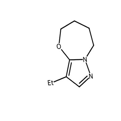 CCc1cnn2c1OCCCC2